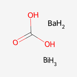 O=C(O)O.[BaH2].[BiH3]